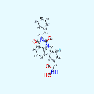 O=C(Cc1ccc(Cn2c3c(c(=O)n(CCc4ccccc4)c2=O)=CCCC=3)c(F)c1)NO